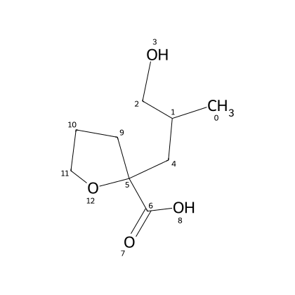 CC(CO)CC1(C(=O)O)CCCO1